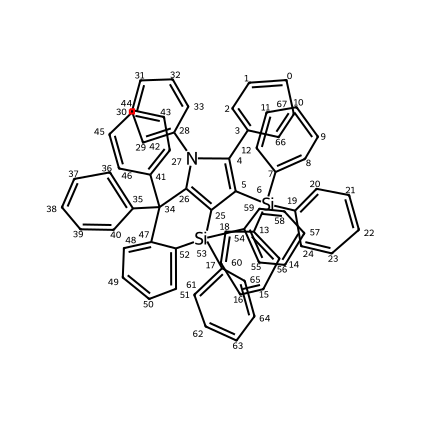 c1ccc(-c2c([Si](c3ccccc3)(c3ccccc3)c3ccccc3)c3c(n2-c2ccccc2)C(c2ccccc2)(c2ccccc2)c2ccccc2[Si]3(c2ccccc2)c2ccccc2)cc1